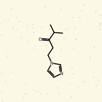 CC(C)C(=O)CCn1ccnc1